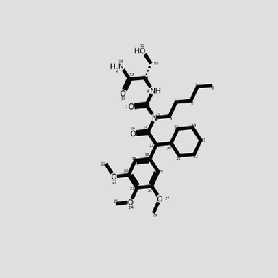 CCCCCN(C(=O)N[C@@H](CO)C(N)=O)C(=O)C(c1cc(OC)c(OC)c(OC)c1)C1CCCCC1